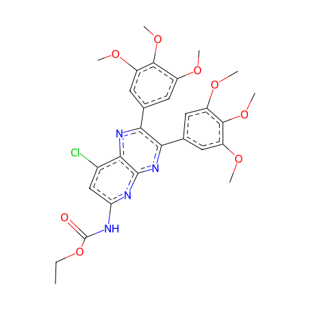 CCOC(=O)Nc1cc(Cl)c2nc(-c3cc(OC)c(OC)c(OC)c3)c(-c3cc(OC)c(OC)c(OC)c3)nc2n1